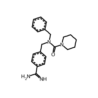 N=C(N)c1ccc(CN(Cc2ccccc2)C(=O)N2CCCCC2)cc1